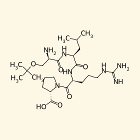 CC(C)C[C@H](NC(=O)[C@H](N)COC(C)(C)C)C(=O)N[C@@H](CCCNC(=N)N)C(=O)N1CCC[C@H]1C(=O)O